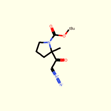 CC(C)(C)OC(=O)N1CCCC1(C)C(=O)C=[N+]=[N-]